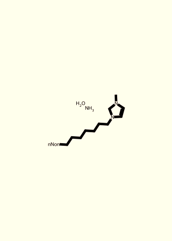 CCCCCCCCCCCCCCCCN1C=CN(C)C1.N.O